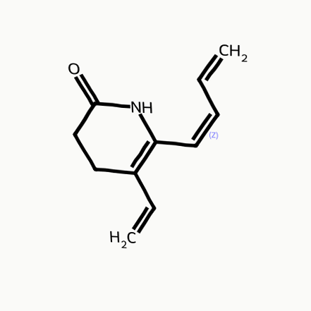 C=C/C=C\C1=C(C=C)CCC(=O)N1